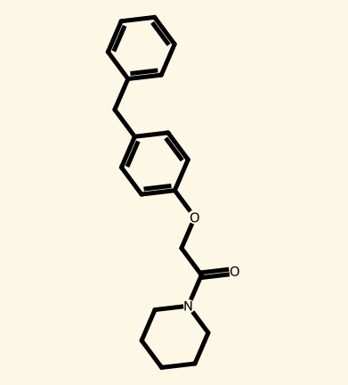 O=C(COc1ccc(Cc2ccccc2)cc1)N1CCCCC1